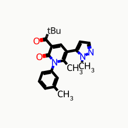 Cc1cccc(-n2c(C)c(-c3ccnn3C)cc(C(=O)C(C)(C)C)c2=O)c1